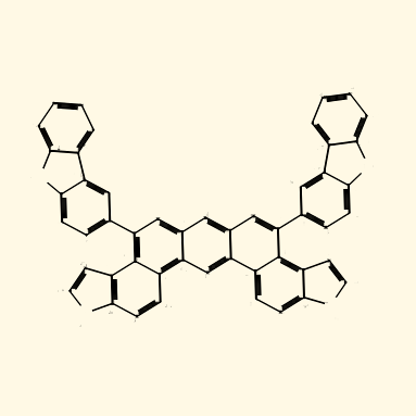 c1ccc2c(c1)oc1ccc(-c3cc4cc5cc(-c6ccc7oc8ccccc8c7c6)c6c7ccsc7ccc6c5cc4c4ccc5sccc5c34)cc12